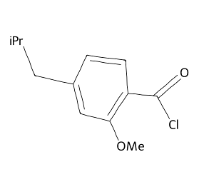 COc1cc(CC(C)C)ccc1C(=O)Cl